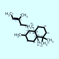 C/C=C(\C)CC[C@H]1[C](C)CC[C@H]2C(C)(C)CCC[C@]12C